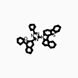 c1ccc(-c2nc(-c3cc4ccccc4c4c3oc3ccccc34)nc(-n3c4ccc5ccccc5c4c4c5sc6ccccc6c5ccc43)n2)cc1